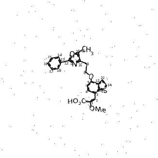 COC(=Cc1ccc(OCCc2nc(-c3ccccc3)oc2C)c2ccsc12)C(=O)O